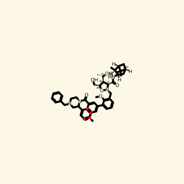 COc1c(CN2O[C@@H](CO)[C@@H]([C@H](C)O)[C@H]2C(=O)N[C@H]2C[C@H]3C[C@@H]([C@@H]2C)C3(C)C)cccc1-c1cc(C(=O)N2CCN(Cc3ccccc3)CC2c2ccccc2)cc(N(C)C)c1